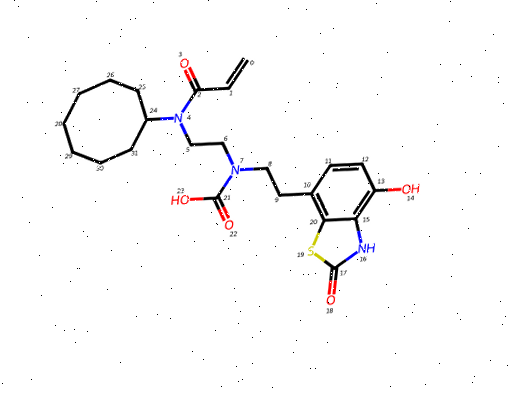 C=CC(=O)N(CCN(CCc1ccc(O)c2[nH]c(=O)sc12)C(=O)O)C1CCCCCCC1